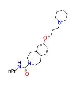 CCCNC(=O)N1CCc2ccc(OCCCN3CCCCC3)cc2CC1